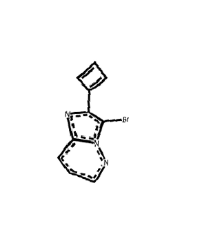 Brc1c(C2=CC=C2)nc2cccnn12